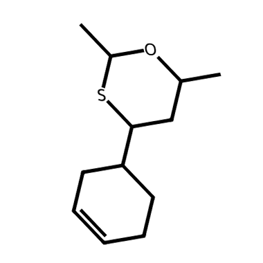 CC1CC(C2CC=CCC2)SC(C)O1